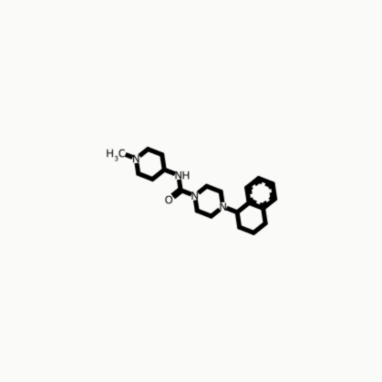 CN1CCC(NC(=O)N2CCN(C3CCCc4ccccc43)CC2)CC1